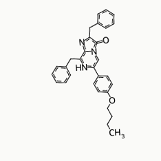 CCCCOc1ccc(-c2cn3c(=O)c(Cc4ccccc4)nc-3c(Cc3ccccc3)[nH]2)cc1